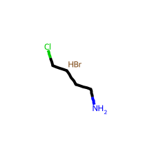 Br.NCCCCCl